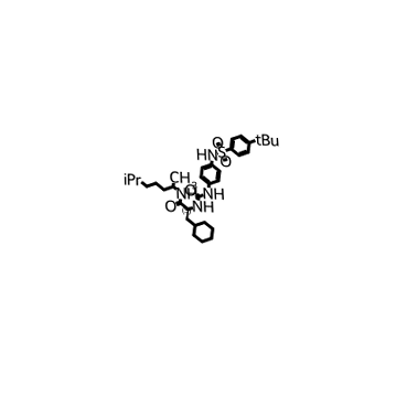 CC(C)CCCC(C)NC(=O)[C@H](CC1CCCCC1)NC(=O)Nc1ccc(NS(=O)(=O)c2ccc(C(C)(C)C)cc2)cc1